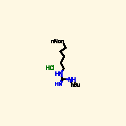 CCCCCCCCCCCCCCNC(=N)NCCCC.Cl